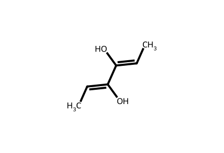 CC=C(O)C(O)=CC